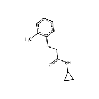 Cc1ccccc1[CH]CC(=O)NC1CC1